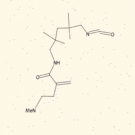 C=C(CCNC)C(=O)NCC(C)(C)CC(C)(C)CN=C=O